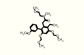 CCc1c(OCOC)cc(OCOC)c(-c2cccc(OC)c2)c1CC(=O)N(C)CCOC